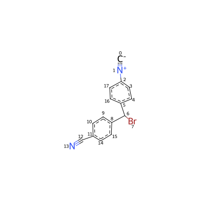 [C-]#[N+]c1ccc(C(Br)c2ccc(C#N)cc2)cc1